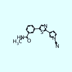 CNC(=O)c1cccc(-c2cnc(-c3ccn(C#N)c3)s2)c1